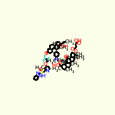 CC#C[C@]1(O)CC[C@H]2[C@@H]3CCC4=CC(=O)CCC4=C3[C@@H](c3ccc(N(C)C)cc3)C[C@@]21C.CC1(C)[C@H]2CC[C@]3(C)[C@@H](C(=O)C=C4[C@@H]5C[C@](C)(C(=O)O)CC[C@@]5(C)CC[C@]43C)[C@]2(C)CC[C@H]1OC(=O)CCC(=O)O.Cc1c(OCC(F)(F)F)ccnc1C[S+]([O-])c1nc2ccccc2[nH]1